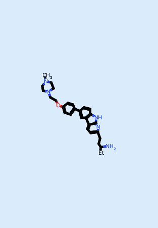 CCC(N)CCc1ccc2c(n1)[nH]c1ccc(-c3ccc(OCCN4CCN(C)CC4)cc3)cc12